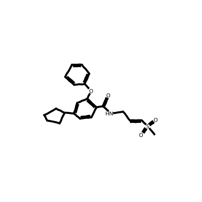 CS(=O)(=O)C=CCNC(=O)c1ccc(C2CCCC2)cc1Oc1ccccc1